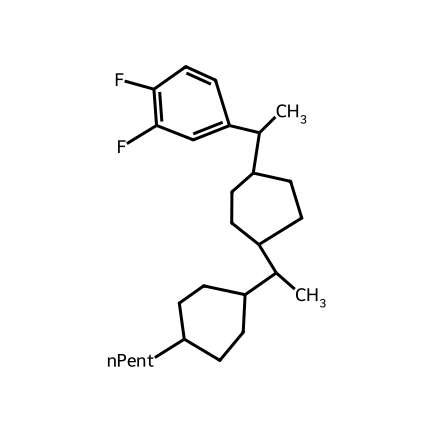 CCCCCC1CCC(C(C)C2CCC(C(C)c3ccc(F)c(F)c3)CC2)CC1